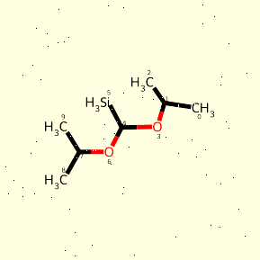 CC(C)OC([SiH3])OC(C)C